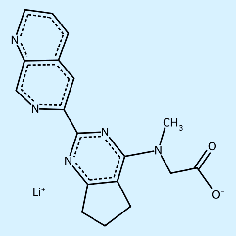 CN(CC(=O)[O-])c1nc(-c2cc3cccnc3cn2)nc2c1CCC2.[Li+]